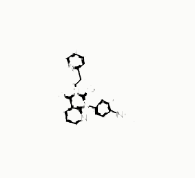 O=c1c2cccnc2n(-c2ccc([N+](=O)[O-])cc2)c(=O)n1CCc1ccccn1